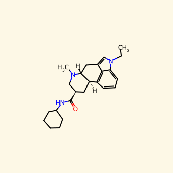 CCn1cc2c3c(cccc31)[C@H]1C[C@@H](C(=O)NC3CCCCC3)CN(C)[C@@H]1C2